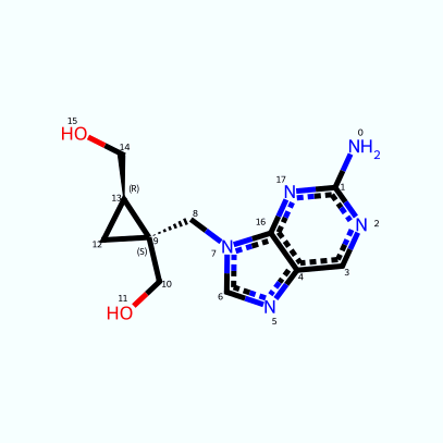 Nc1ncc2ncn(C[C@]3(CO)C[C@H]3CO)c2n1